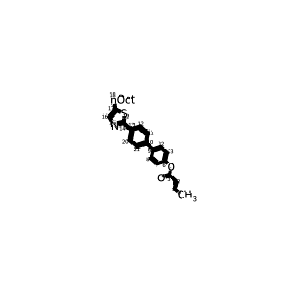 C/C=C/C(=O)Oc1ccc(-c2ccc(-c3ncc(CCCCCCCC)s3)cc2)cc1